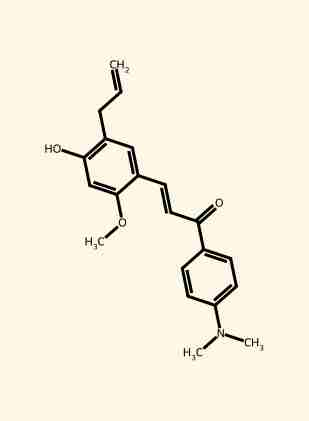 C=CCc1cc(/C=C/C(=O)c2ccc(N(C)C)cc2)c(OC)cc1O